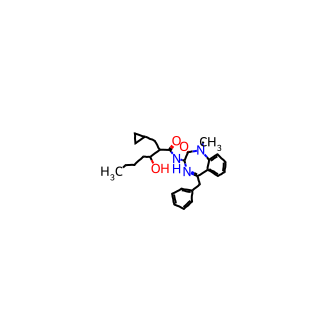 CCCCC(O)C(CC1CC1)C(=O)NC1N=C(Cc2ccccc2)c2ccccc2N(C)C1=O